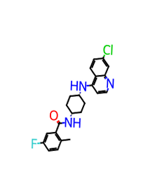 Cc1ccc(F)cc1C(=O)N[C@H]1CC[C@@H](Nc2ccnc3cc(Cl)ccc23)CC1